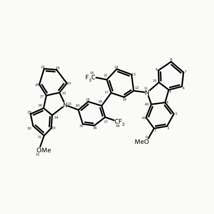 COc1ccc2c3ccccc3n(-c3ccc(C(F)(F)F)c(-c4cc(-n5c6ccccc6c6ccc(OC)cc65)ccc4C(F)(F)F)c3)c2c1